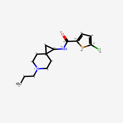 CC(C)(C)CCN1CCC2(CC1)CC2NC(=O)c1ccc(Cl)s1